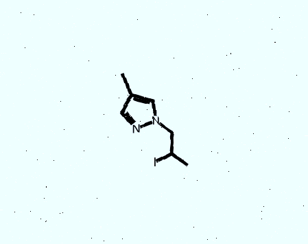 Cc1cnn(CC(C)I)c1